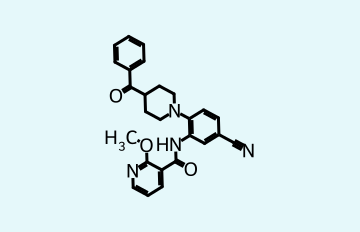 COc1ncccc1C(=O)Nc1cc(C#N)ccc1N1CCC(C(=O)c2ccccc2)CC1